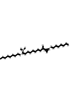 CCCCCCCCC[C@@H](CCCCCCCC(C)C1C[C@H]1CCCCCCCC)N(C)C